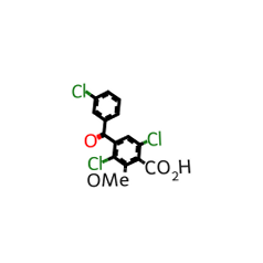 COc1c(Cl)c(C(=O)c2cccc(Cl)c2)cc(Cl)c1C(=O)O